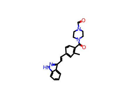 Cc1cc(/C=C/c2n[nH]c3ccccc23)ccc1C(=O)N1CCN(C=O)CC1